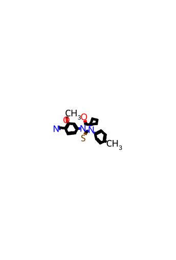 COc1cc(N2C(=O)C3(CCC3)N(c3ccc(C)cc3)C2=S)ccc1C#N